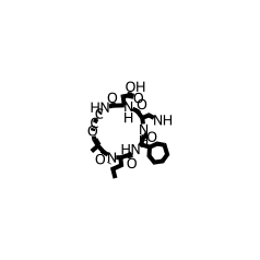 CCCC1C(=O)NC(C2CCCCCC2)C(=O)NC(CNC)C(=O)NC(CC(=O)O)C(=O)NCCO/C=C(/C)C(=O)N1C